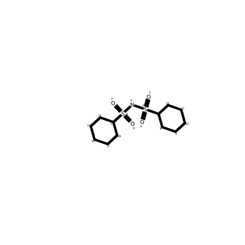 O=S(=O)([N]S(=O)(=O)C1CCCCC1)C1CCCCC1